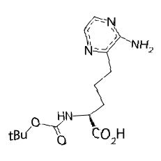 CC(C)(C)OC(=O)N[C@@H](CCCc1nccnc1N)C(=O)O